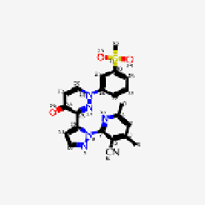 Cc1cc(C)c(C#N)c(-n2nccc2-c2nn(-c3cccc(S(C)(=O)=O)c3)ccc2=O)n1